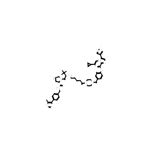 Cc1ncsc1-c1ccc(CNC(=O)[C@@H]2C[C@@H](O)CN2C(=O)[C@@H](NCCCCC(=O)N2CCN(C(=O)c3ccc(Nc4nc(C5CC5)cn5c(-c6cn[nH]c6)cnc45)c(F)c3)CC2)C(C)(C)C)cc1